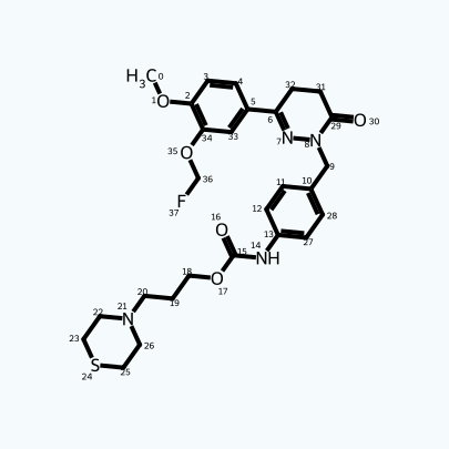 COc1ccc(C2=NN(Cc3ccc(NC(=O)OCCCN4CCSCC4)cc3)C(=O)CC2)cc1OCF